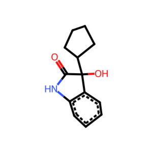 O=C1Nc2ccccc2C1(O)C1CCCC1